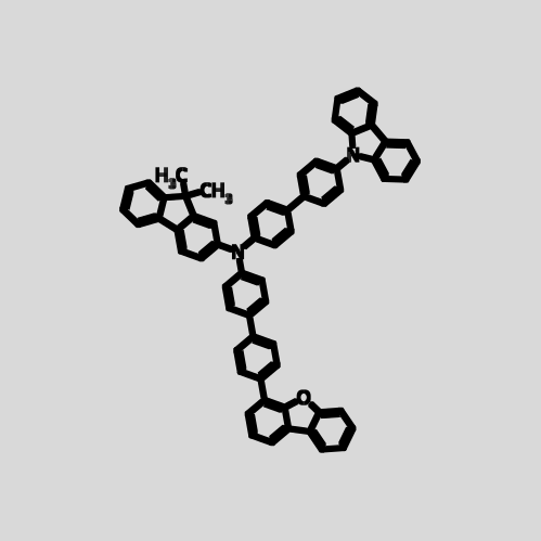 CC1(C)c2ccccc2-c2ccc(N(c3ccc(-c4ccc(-c5cccc6c5oc5ccccc56)cc4)cc3)c3ccc(-c4ccc(-n5c6ccccc6c6ccccc65)cc4)cc3)cc21